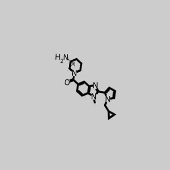 Cn1c(-c2cccn2CC2CC2)nc2cc(C(=O)N3CCC[C@@H](N)C3)ccc21